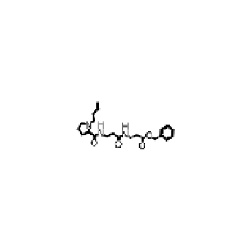 CCCCN1CCCC1C(=O)NCCC(=O)NCCC(=O)OCc1ccccc1